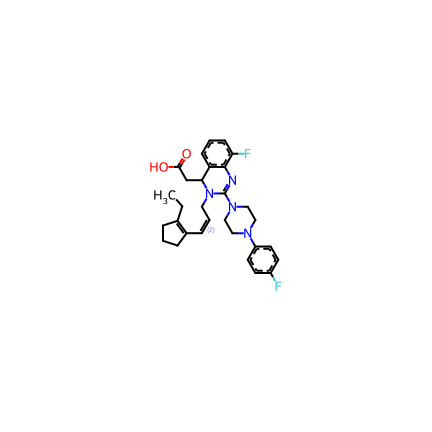 CCC1=C(/C=C\CN2C(N3CCN(c4ccc(F)cc4)CC3)=Nc3c(F)cccc3C2CC(=O)O)CCC1